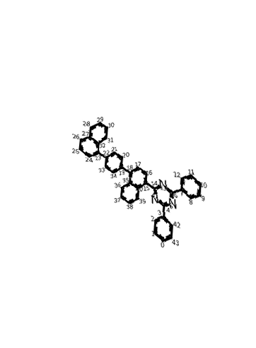 c1ccc(-c2nc(-c3ccccc3)nc(-c3ccc(-c4ccc(-c5cccc6ccccc56)cc4)c4ccccc34)n2)cc1